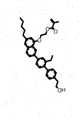 C=C(C)C(=O)OCCOc1cc(CCCCC)cc2ccc(-c3ccc(-c4ccc(CCO)cc4)c(CC)c3)cc12